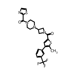 Cc1sc(C(=O)N2CC(N3CCN(C(=O)c4nccs4)CC3)C2)cc1-c1cccc(C(F)(F)F)c1